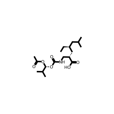 CC[C@@H](CC(C)C)C[C@@H](CNC(=O)O[C@@H](OC(C)=O)C(C)C)C(=O)O